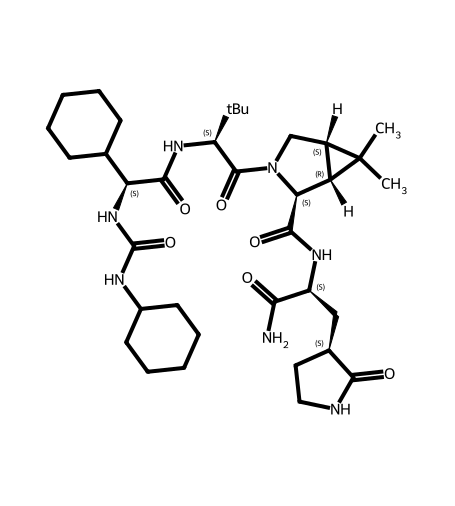 CC(C)(C)[C@H](NC(=O)[C@@H](NC(=O)NC1CCCCC1)C1CCCCC1)C(=O)N1C[C@H]2[C@@H]([C@H]1C(=O)N[C@@H](C[C@@H]1CCNC1=O)C(N)=O)C2(C)C